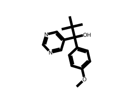 COc1ccc(C(O)(c2cncnc2)C(C)(C)C)cc1